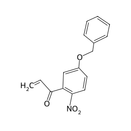 C=CC(=O)c1cc(OCc2ccccc2)ccc1[N+](=O)[O-]